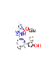 C=C1/C(c2ccc(O)c3c2C2CCC3C2)=C\C=C(\c2cnc([C@@H]3C[C@H](C)CN3C(=O)OC(C)(C)C)[nH]2)CCC2CCC12